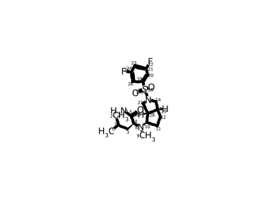 CC(C)C[C@@H](C(N)=O)N(C)[C@@H]1CC[C@H]2CN(S(=O)(=O)c3cc(F)cc(F)c3)C[C@H]21